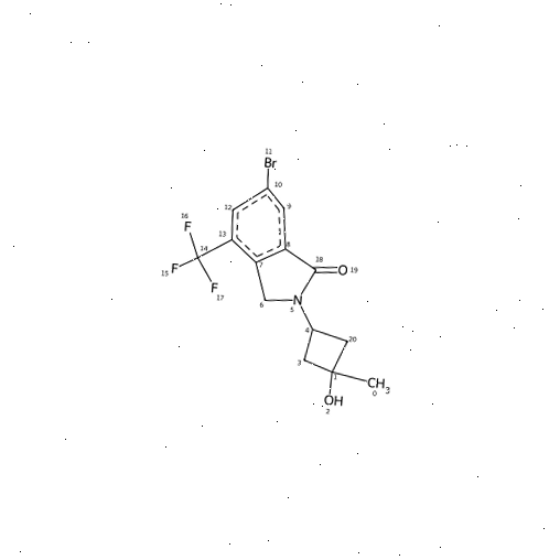 CC1(O)CC(N2Cc3c(cc(Br)cc3C(F)(F)F)C2=O)C1